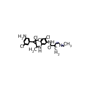 C=C(/C=C\N=C/C)C(=O)Nc1cc(NC(=C)C2C(c3cc(N)cc(Cl)c3)C2(Cl)Cl)ccc1Cl